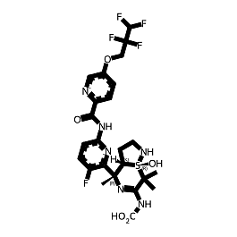 CC1(C)C(NC(=O)O)=N[C@](C)(c2nc(NC(=O)c3ccc(OCC(F)(F)C(F)F)cn3)ccc2F)[C@@H]2CCN[S@@]21O